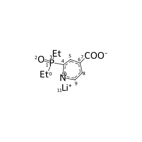 CCP(=O)(CC)c1cc(C(=O)[O-])ccn1.[Li+]